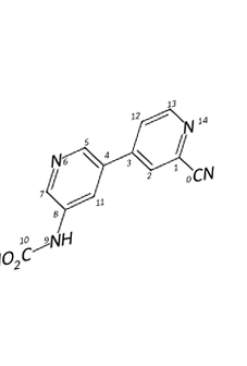 N#Cc1cc(-c2cncc(NC(=O)O)c2)ccn1